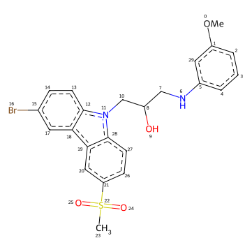 COc1cccc(NCC(O)Cn2c3ccc(Br)cc3c3cc(S(C)(=O)=O)ccc32)c1